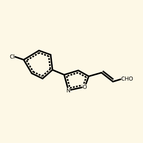 O=C/C=C/c1cc(-c2ccc(Cl)cc2)no1